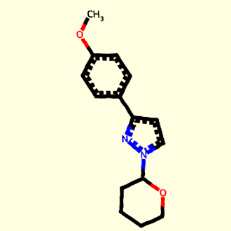 COc1ccc(-c2ccn(C3CCCCO3)n2)cc1